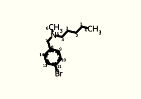 CCCCCN(C)Cc1ccc(Br)cc1